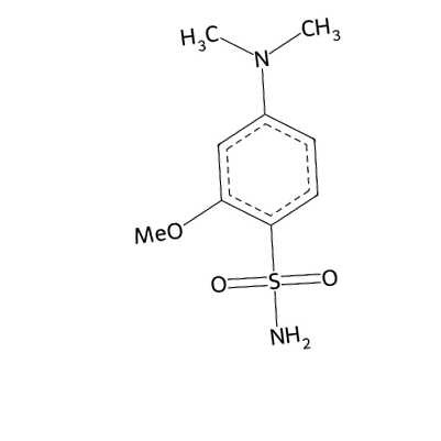 COc1cc(N(C)C)ccc1S(N)(=O)=O